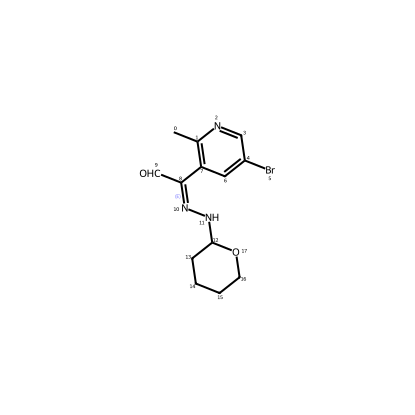 Cc1ncc(Br)cc1/C(C=O)=N\NC1CCCCO1